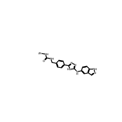 CC(C)NC(=O)NCc1ccc(-c2nnc(Nc3ccc4[nH]ncc4c3)[nH]2)cc1